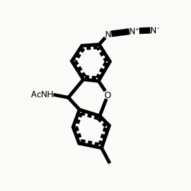 CC(=O)NC1c2ccc(C)cc2Oc2cc(N=[N+]=[N-])ccc21